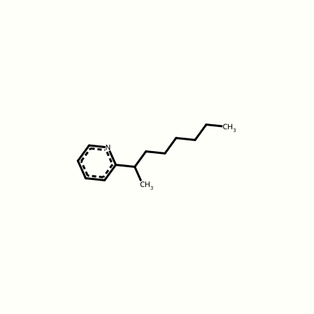 CCCCCCC(C)c1ccccn1